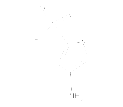 Nc1csc(S(=O)(=O)F)c1